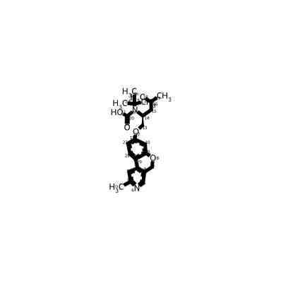 Cc1cc2c(cn1)COc1cc(OC[C@H](CC(C)C)N(C(=O)O)C(C)(C)C)ccc1-2